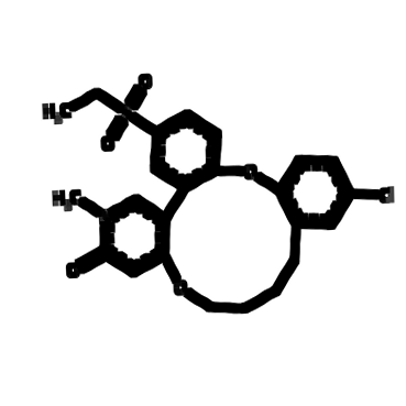 CCS(=O)(=O)c1ccc2c(c1)-c1cn(C)c(=O)cc1OCCCCc1cc(Cl)ccc1O2